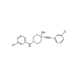 OC1(C#Cc2cccc(Cl)c2)CCC(Nc2cccc(Cl)c2)CC1